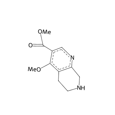 COC(=O)c1cnc2c(c1OC)CCNC2